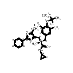 CCOC(=O)C(C)(C)Oc1c(C)cc(C[N+](C)(Cc2nc(-c3ccccc3)oc2C)C(=O)NC2CC2)cc1C